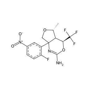 C[C@H]1OCC2(c3cc([N+](=O)[O-])ccc3F)N=C(N)O[C@H](C(F)(F)F)C12